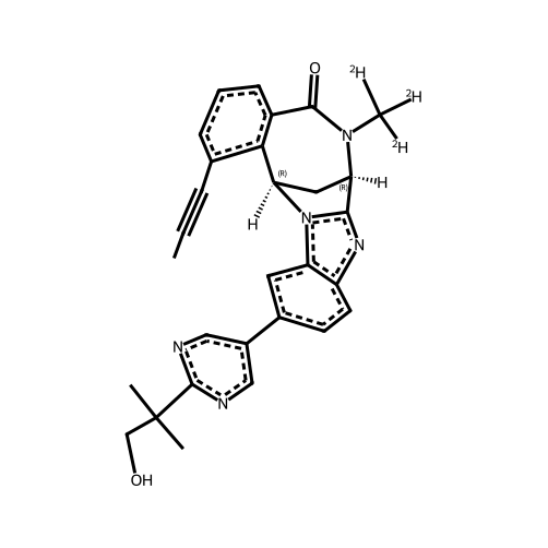 [2H]C([2H])([2H])N1C(=O)c2cccc(C#CC)c2[C@H]2C[C@@H]1c1nc3ccc(-c4cnc(C(C)(C)CO)nc4)cc3n12